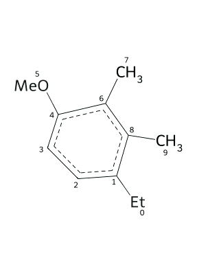 [CH2]Cc1ccc(OC)c(C)c1C